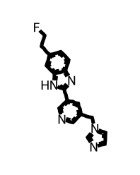 FCCc1ccc2nc(-c3cncc(Cn4ccnc4)c3)[nH]c2c1